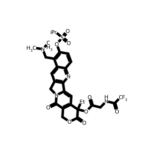 CCC1(OC(=O)CNC(=O)C(F)(F)F)C(=O)OCc2c1cc1n(c2=O)Cc2cc3c(CN(C)C)c(OS(=O)(=O)C(C)C)ccc3nc2-1